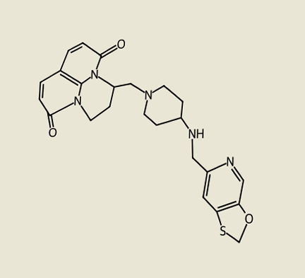 O=c1ccc2ccc(=O)n3c2n1CCC3CN1CCC(NCc2cc3c(cn2)OCS3)CC1